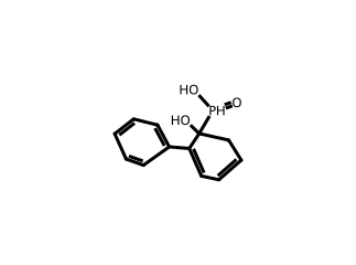 O=[PH](O)C1(O)CC=CC=C1c1ccccc1